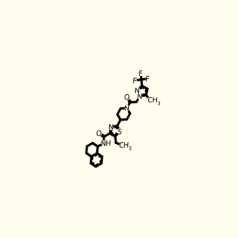 CCc1sc(C2CCN(C(=O)Cn3nc(C(F)(F)F)cc3C)CC2)nc1C(=O)NC1CCCc2ccccc21